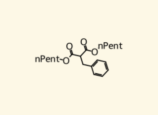 CCCCCOC(=O)C(Cc1ccccc1)C(=O)OCCCCC